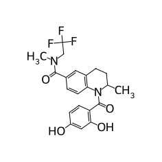 CC1CCc2cc(C(=O)N(C)CC(F)(F)F)ccc2N1C(=O)c1ccc(O)cc1O